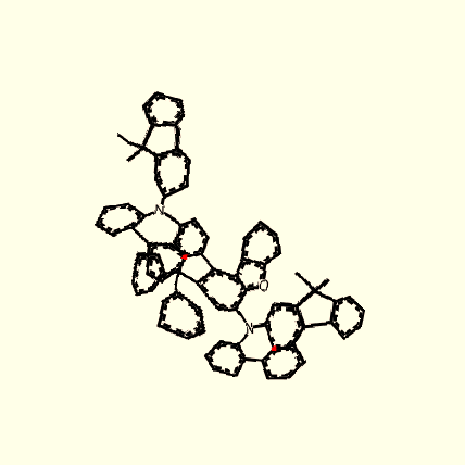 CC1(C)c2ccccc2-c2ccc(N(c3ccc4c(c3)C(c3ccccc3)(c3ccccc3)c3cc(N(c5ccc6c(c5)C(C)(C)c5ccccc5-6)c5ccccc5-c5ccccc5)c5oc6ccccc6c5c3-4)c3ccccc3-c3ccccc3)cc21